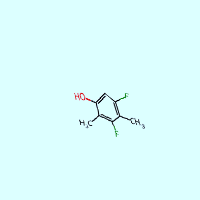 Cc1c(O)cc(F)c(C)c1F